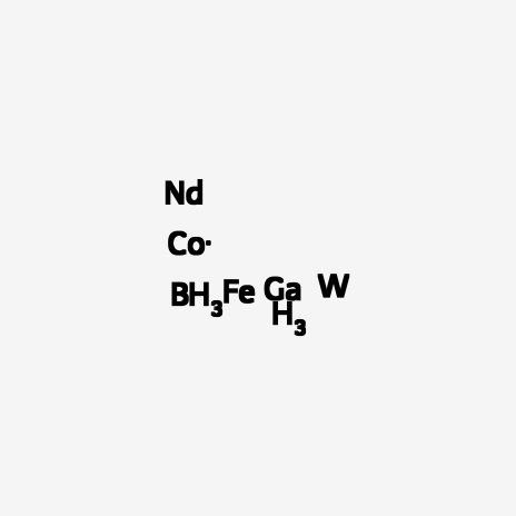 B.[Co].[Fe].[GaH3].[Nd].[W]